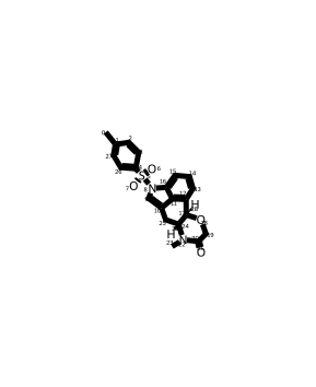 Cc1ccc(S(=O)(=O)n2cc3c4c(cccc42)[C@H]2OCC(=O)N(C)[C@@H]2C3)cc1